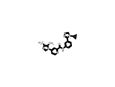 Cc1ncn(-c2ccnc(C(=O)Nc3cccc(-c4nncn4C4CC4)c3)c2)c1C